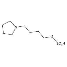 O=S(=O)(O)SCCCCN1CCCC1